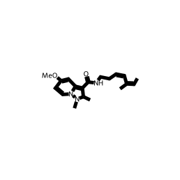 C/C=C(C)\C=C/CCNC(=O)C1=C2C=C(OC)C=CN2N(C)C1C